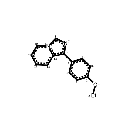 CCOc1ccc(-c2ncn3ccccc23)cc1